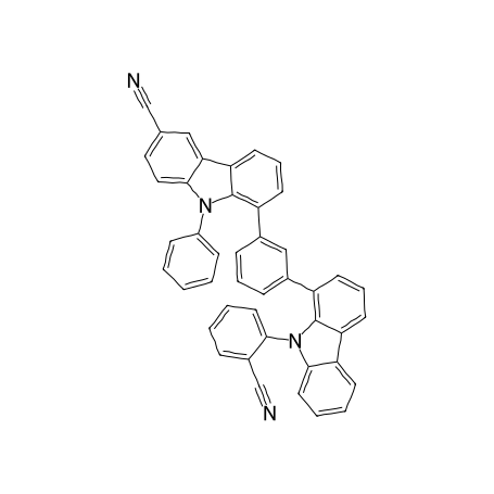 N#Cc1ccc2c(c1)c1cccc(-c3cccc(-c4cccc5c6ccccc6n(-c6ccccc6C#N)c45)c3)c1n2-c1ccccc1